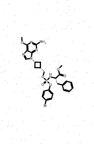 COC(=O)[C@H](Cc1ccccc1)NP(=O)(OC[C@H]1C[C@@H](n2cnc3c(OC)nc(N)nc32)C1)Oc1ccc(Br)cc1